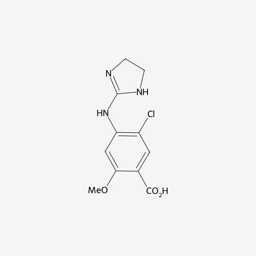 COc1cc(NC2=NCCN2)c(Cl)cc1C(=O)O